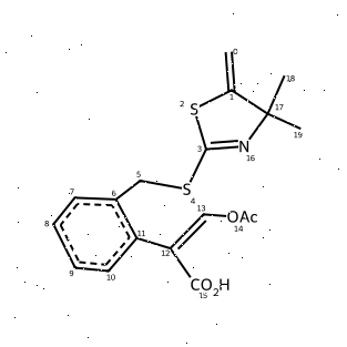 C=C1SC(SCc2ccccc2C(=COC(C)=O)C(=O)O)=NC1(C)C